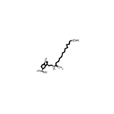 C=C(CCCCCCCCCCCCCCCCCCCCC)NCCc1c[nH]c2ccc(N(CCC)CCC)cc12